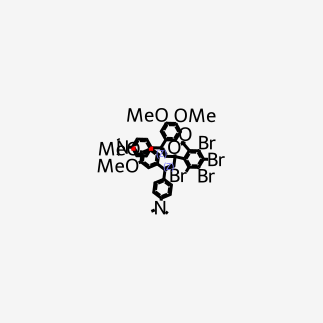 COc1ccc(/C(=C\C2(/C=C(/c3ccc(N(C)C)cc3)c3ccc(OC)c(OC)c3)OC(=O)c3c(Br)c(Br)c(Br)c(Br)c32)c2ccc(N(C)C)cc2)cc1OC